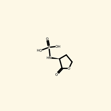 O=C1OCC[C@@H]1NP(=O)(O)O